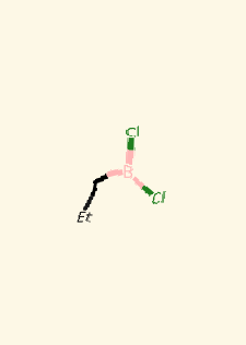 CCCB(Cl)Cl